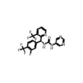 O=C(Nc1cncnc1)N[C@@H](c1ccc(C(F)(F)F)c(F)c1)c1ncccc1C(F)(F)F